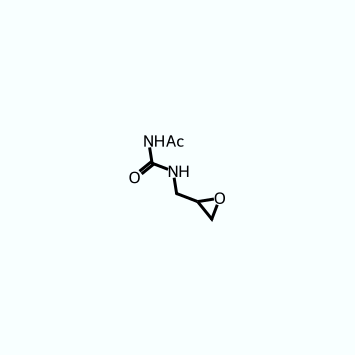 CC(=O)NC(=O)NCC1CO1